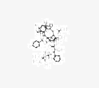 CC(=O)C[C@H]1C(=O)[C@]23C[C@H]2C[C@H]2OC[C@@]2(OC(C)=O)[C@H]3[C@H](OC(=O)c2ccccc2)[C@]2(O)CC(OC(=O)[C@H](O)[C@@H](NC(=O)NC(C)(C)C)c3ccccc3)=C(C)C1C2(C)C